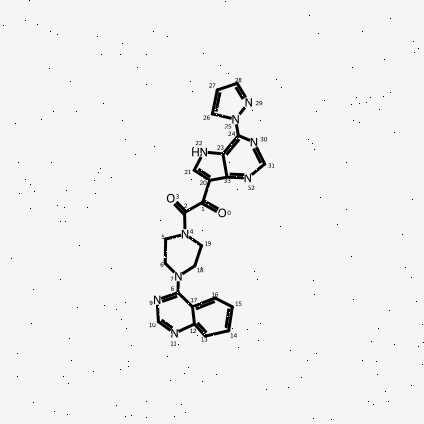 O=C(C(=O)N1CCN(c2ncnc3ccccc23)CC1)c1c[nH]c2c(-n3cccn3)ncnc12